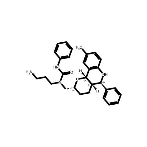 NCCCN(C[C@H]1CC[C@@H]2[C@H](O1)c1cc(C(F)(F)F)ccc1N[C@H]2c1ccccc1)C(=O)Nc1ccccc1